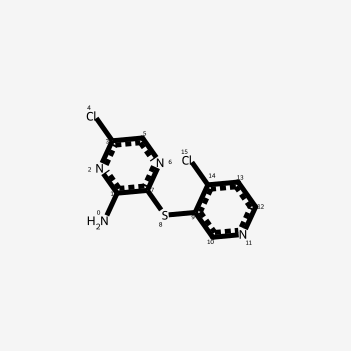 Nc1nc(Cl)cnc1Sc1cnccc1Cl